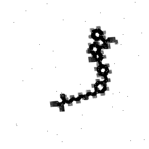 C[C@@H](Nc1ncnc2[nH]c(-c3ccc(CN4CCN(CCOCCCCC(=O)NO)CC4)cc3)cc12)c1ccccc1